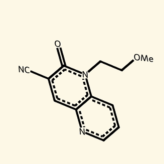 COCCn1c(=O)c(C#N)cc2ncccc21